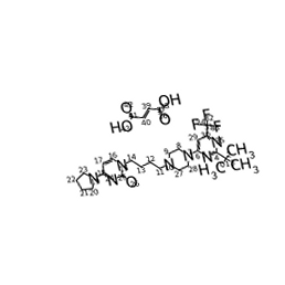 CC(C)(C)c1nc(N2CCN(CCCCn3ccc(N4CCCC4)nc3=O)CC2)cc(C(F)(F)F)n1.O=C(O)C=CC(=O)O